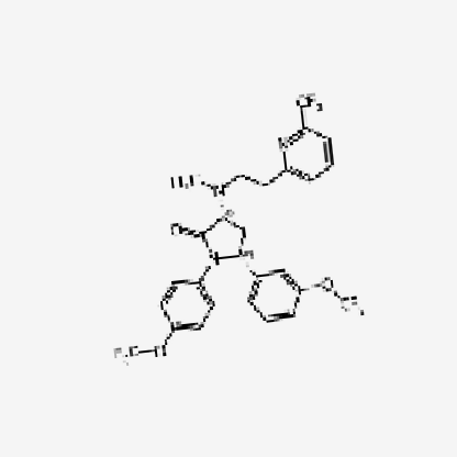 CN(CCc1cccc(C(F)(F)F)n1)[C@@H]1C[C@H](c2cccc(OC(F)(F)F)c2)N(c2ccc(OC(F)(F)F)cc2)C1=O